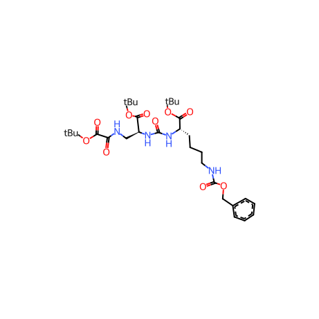 CC(C)(C)OC(=O)C(=O)NC[C@H](NC(=O)N[C@@H](CCCCNC(=O)OCc1ccccc1)C(=O)OC(C)(C)C)C(=O)OC(C)(C)C